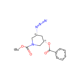 CC(C)(C)OC(=O)N1C[C@H](N=[N+]=[N-])C[C@H](OC(=O)c2ccccc2)C1